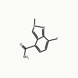 Cn1cc2c(C(N)=O)ccc(F)c2n1